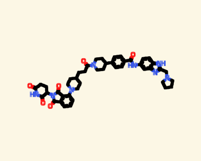 O=C1CCC(N2C(=O)c3cccc(N4CCC(CCC(=O)N5CCC(c6ccc(C(=O)Nc7ccc8[nH]c(CN9CCCC9)nc8c7)cc6)CC5)CC4)c3C2=O)C(=O)N1